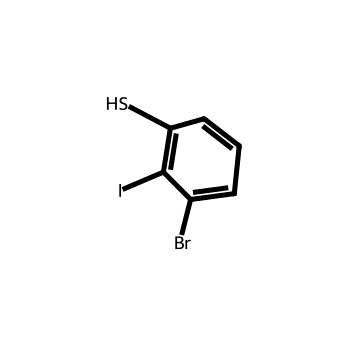 Sc1cccc(Br)c1I